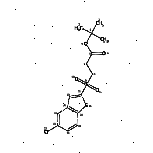 CC(C)(C)OC(=O)CCS(=O)(=O)c1cc2cc(Cl)ccc2s1